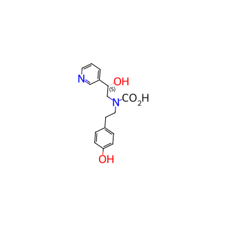 O=C(O)N(CCc1ccc(O)cc1)C[C@@H](O)c1cccnc1